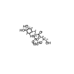 CC(C)(C)OC(=O)N[C@@H](Cc1ccc(O)c(O)c1)C(=O)OC[C@@H](O)CO